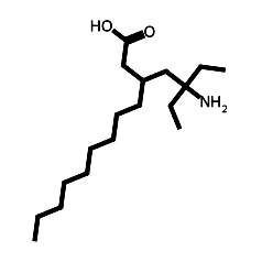 CCCCCCCCCC(CC(=O)O)CC(N)(CC)CC